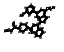 CCOC(=O)c1cc(-c2ccnc(C#N)c2)cc2c1ncn2-c1cc(N2CCN(C(=O)OC(C)(C)C)CC2)nc2ccccc12